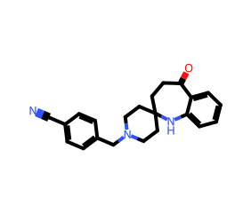 N#Cc1ccc(CN2CCC3(CCC(=O)c4ccccc4N3)CC2)cc1